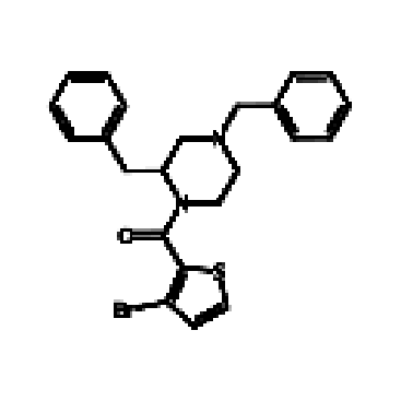 O=C(c1sccc1Br)N1CCN(Cc2ccccc2)CC1Cc1ccccc1